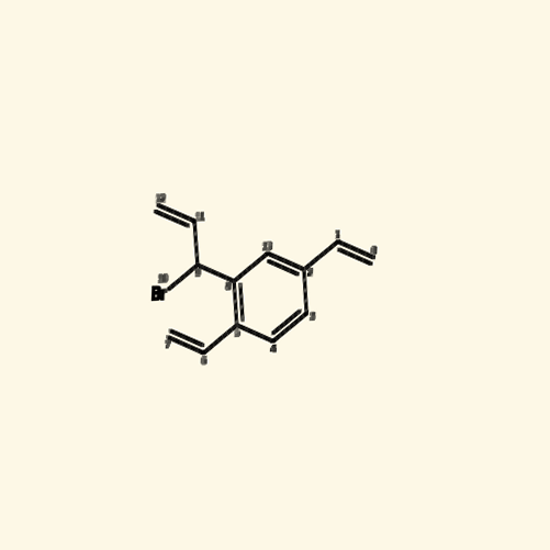 C=Cc1ccc(C=C)c(C(Br)C=C)c1